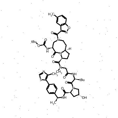 Cc1ccc2onc(C(=O)N3CC[C@H]4CC[C@@H](C(=O)N(C)CC(=O)N[C@H](C(=O)N5C[C@H](O)C[C@H]5C(=O)N[C@@H](C)c5ccc(-c6scnc6C)cc5)C(C)(C)C)N4C(=O)[C@@H](NC(=O)OC(C)(C)C)C3)c2c1